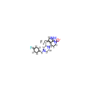 [O-][n+]1ccc(N2CCN(Cc3ccc(F)cc3)CC2)c2c(C(F)(F)F)c[nH]c21